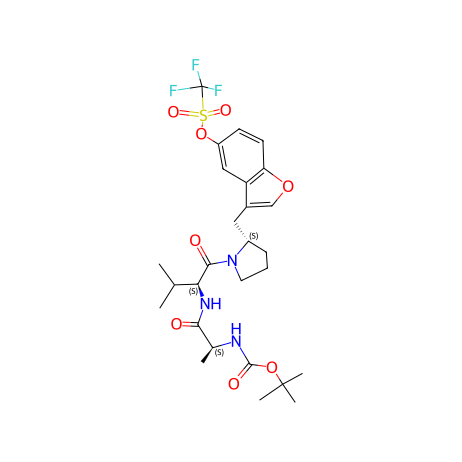 CC(C)[C@H](NC(=O)[C@H](C)NC(=O)OC(C)(C)C)C(=O)N1CCC[C@H]1Cc1coc2ccc(OS(=O)(=O)C(F)(F)F)cc12